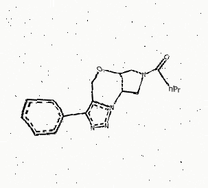 CCCC(=O)N1CC2OCc3c(-c4ccccc4)nnn3C2C1